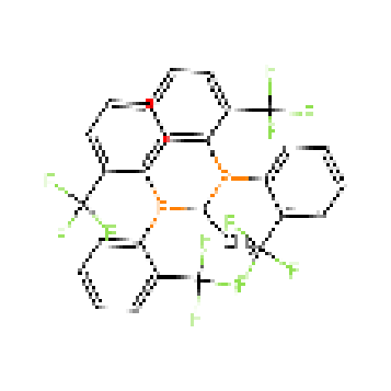 CC(P(c1ccccc1C(F)(F)F)c1ccccc1C(F)(F)F)P(c1ccccc1C(F)(F)F)c1ccccc1C(F)(F)F